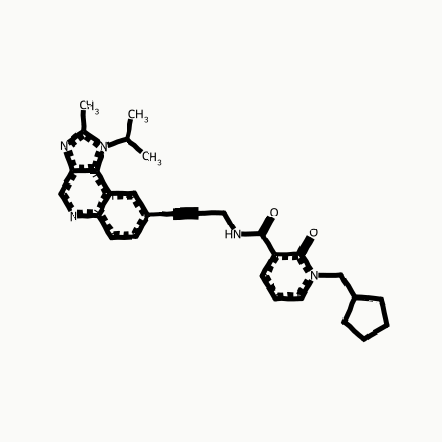 Cc1nc2cnc3ccc(C#CCNC(=O)c4cccn(CC5CCCC5)c4=O)cc3c2n1C(C)C